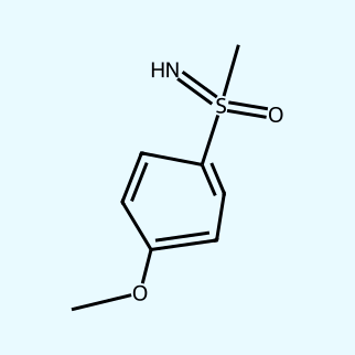 COc1ccc(S(C)(=N)=O)cc1